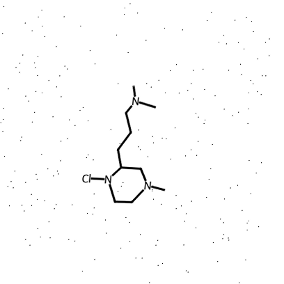 CN(C)CCCC1CN(C)CCN1Cl